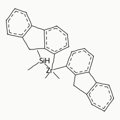 C[SiH](C)[Zr]([CH3])([CH3])([c]1cccc2c1Cc1ccccc1-2)[c]1cccc2c1Cc1ccccc1-2